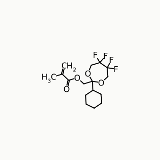 C=C(C)C(=O)OCC1(C2CCCCC2)OCC(F)(F)C(F)(F)CO1